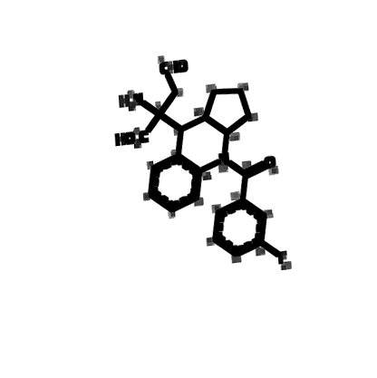 NC(CC=O)(C(=O)O)C1c2ccccc2N(C(=O)c2cccc(F)c2)C2CCCC21